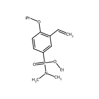 C=Cc1cc(P(=O)(OCC)N(C)C)ccc1OC(C)C